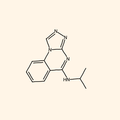 CC(C)Nc1nc2nncn2c2ccccc12